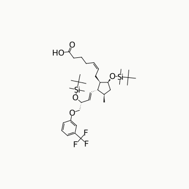 C[C@@H]1C[C@H](O[Si](C)(C)C(C)(C)C)[C@H](C/C=C\CCCC(=O)O)[C@H]1/C=C/[C@H](COc1cccc(C(F)(F)F)c1)O[Si](C)(C)C(C)(C)C